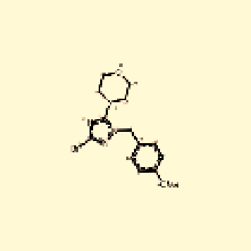 COc1ccc(Cn2nc(Br)nc2N2CCOCC2)cc1